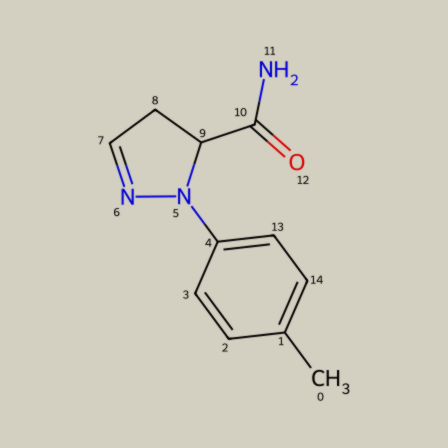 Cc1ccc(N2N=CCC2C(N)=O)cc1